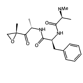 CN[C@@H](C)C(=O)N[C@@H](Cc1ccccc1)C(=O)N[C@@H](C)C(=O)[C@@]1(C)CO1